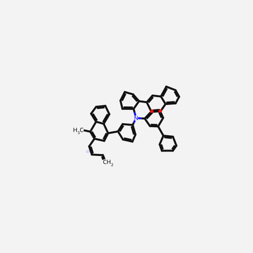 C=C/C=C\c1cc(-c2cccc(N(c3cccc(-c4ccccc4)c3)c3ccccc3-c3ccc4ccccc4c3)c2)c2ccccc2c1C